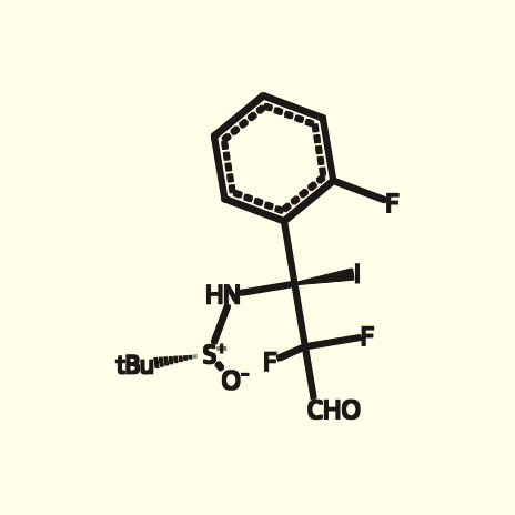 CC(C)(C)[S@@+]([O-])N[C@](I)(c1ccccc1F)C(F)(F)C=O